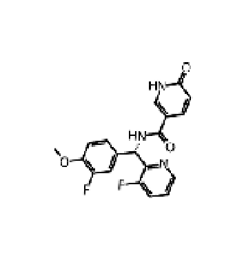 COc1ccc([C@H](NC(=O)c2ccc(=O)[nH]c2)c2ncccc2F)cc1F